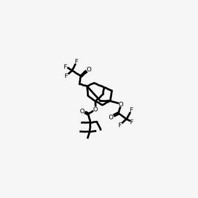 CCC(C)(C(=O)OC12CC3CC(CC(=O)C(F)(F)F)(CC(OC(=O)C(F)(F)F)(C3)C1)C2)C(C)(C)C